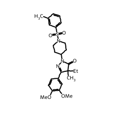 CCC1(C)C(=O)N(C2CCN(S(=O)(=O)c3cccc(C)c3)CC2)N=C1c1ccc(OC)c(OC)c1